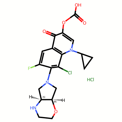 Cl.O=C(O)Oc1cn(C2CC2)c2c(Cl)c(N3C[C@@H]4NCCO[C@@H]4C3)c(F)cc2c1=O